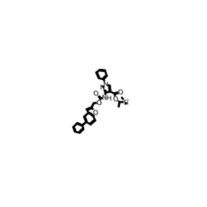 CC(OC(=O)c1cn(-c2ccccc2)nc1NC(=O)OCc1cc2cc(-c3ccccc3)ccc2o1)[Si](C)(C)C